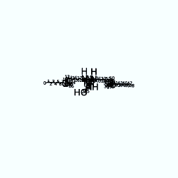 CCCCCCCCON1C(C)(C)CC(CCCCNc2nc(NCCO)nc(NCCCCC3CC(C)(C)N(OCCCCCCCC)C(C)(C)C3)n2)CC1(C)C